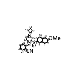 COc1ccc2cc(C(=O)C3CN(C4CCC4)CCN3Cc3ccccc3C#N)ccc2c1